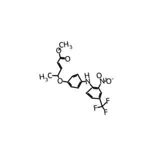 COC(=O)C=CC(C)Oc1ccc(Nc2ccc(C(F)(F)F)cc2[N+](=O)[O-])cc1